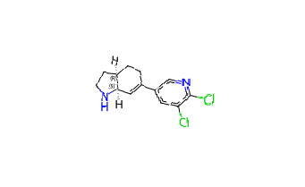 Clc1cc(C2=C[C@H]3NCC[C@H]3CC2)cnc1Cl